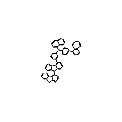 C1=Cc2cccc(-c3ccc(N(c4cccc(-c5cccc6c5c5ccccc5n6-c5cccc6oc7ccccc7c56)c4)c4cccc5ccccc45)cc3)c2C=CC1